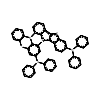 c1ccc(N(c2ccccc2)c2cc3c4c(c2)-n2c5c(cccc5c5sc6cc(N(c7ccccc7)c7ccccc7)ccc6c52)B4c2ccccc2S3)cc1